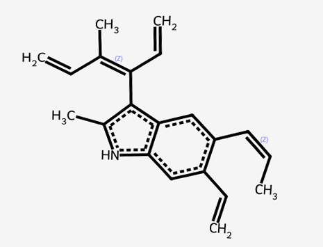 C=C/C(C)=C(/C=C)c1c(C)[nH]c2cc(C=C)c(/C=C\C)cc12